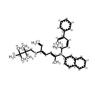 C=C/C(=C\C=C(/C)N(c1ccc2ccccc2c1)C(C)/C=C\C(=C/C)c1ccccc1)SCC(C)(C)C(C)(C)C